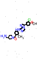 COc1ccc(-c2cnc3c(Nc4ccc(C(=O)N5CCC(CN)CC5)c(C)c4)nccn23)cc1Cl